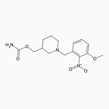 COc1cccc(CN2CCCC(COC(N)=O)C2)c1[N+](=O)[O-]